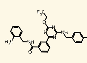 Cc1ccccc1CNC(=O)c1cccc(-c2nc(NCc3ccc(F)cc3)nc(OCC(F)(F)F)n2)c1